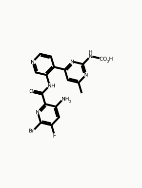 Cc1cc(-c2ccncc2NC(=O)c2nc(Br)c(F)cc2N)nc(NC(=O)O)n1